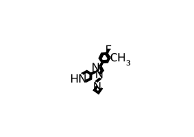 Cc1cc(-c2cn(CCN3CCC3)c(C3CCNCC3)n2)ccc1F